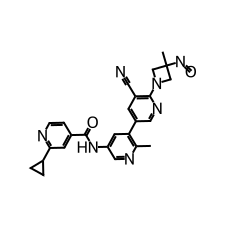 Cc1ncc(NC(=O)c2ccnc(C3CC3)c2)cc1-c1cnc(N2CC(C)(N=O)C2)c(C#N)c1